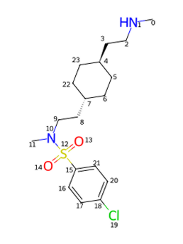 CNCC[C@H]1CC[C@H](CCN(C)S(=O)(=O)c2ccc(Cl)cc2)CC1